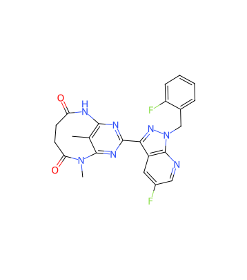 Cc1c2nc(-c3nn(Cc4ccccc4F)c4ncc(F)cc34)nc1N(C)C(=O)CCC(=O)N2